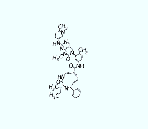 CCC(C)[C@H]1\N=C(c2ccccc2)/C=C/C=C(C(=O)Nc2ccc(C)c(N3Cc4cnc(NC5=CN=C(C)CC5)nc4N(C)C3=O)c2)\C=C\NC1=O